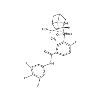 C[C@H](O)[C@@H](O)[C@]1(O)C2CC1C[C@@H](S(=O)(=O)c1cc(C(=O)Nc3cc(F)c(F)c(F)c3)ccc1F)C2